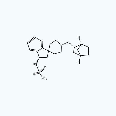 CS(=O)(=O)N[C@@H]1CC2(CCN(C[C@H]3C[C@H]4CC[C@H]3C4)CC2)c2ccccc21